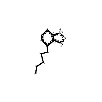 CCCCCc1cccc2[nH]nnc12